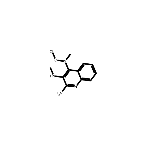 CNc1c(N)nc2ccccc2c1N(C)OCl